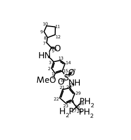 COc1cc(NC(=O)CC2CCCC2)ccc1S(=O)(=O)Nc1cccc(C(P)(P)P)c1